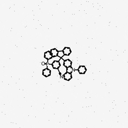 N#Cc1cc(C2(c3ccc4c(c3)c3ccccc3n4-c3ccccc3)c3ccccc3-c3ccccc32)cc(P(=O)(c2ccccc2)c2ccccc2)c1